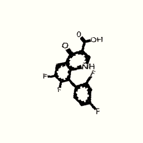 O=C(O)c1c[nH]c2c(-c3ccc(F)cc3F)c(F)c(F)cc2c1=O